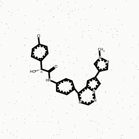 Cn1cc(-c2cc3c(-c4ccc(NC(=O)[C@H](O)c5ccc(Cl)cc5)cc4)ncnn3c2)cn1